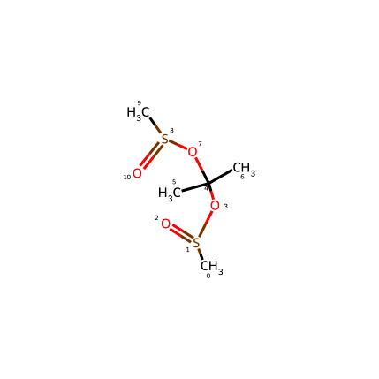 CS(=O)OC(C)(C)OS(C)=O